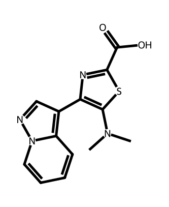 CN(C)c1sc(C(=O)O)nc1-c1cnn2ccccc12